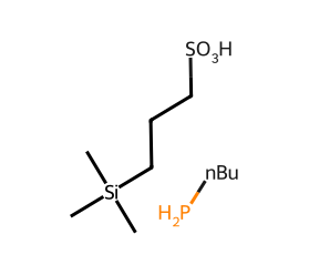 CCCCP.C[Si](C)(C)CCCS(=O)(=O)O